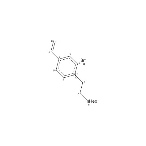 C=Cc1cc[n+](CCCCCCCC)cc1.[Br-]